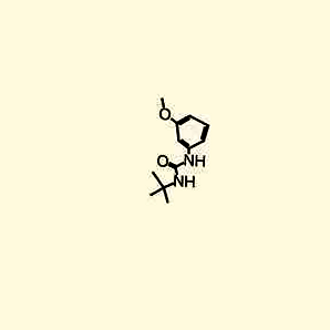 COc1cccc(NC(=O)NC(C)(C)C)c1